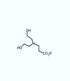 O=C(O)CCN(CCO)CCO